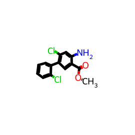 COC(=O)c1cc(-c2ccccc2Cl)c(Cl)cc1N